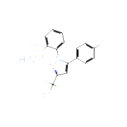 CCC(F)(F)c1cc(-c2ccc(Cl)cc2)n(-c2ccccc2S(N)(=O)=O)n1